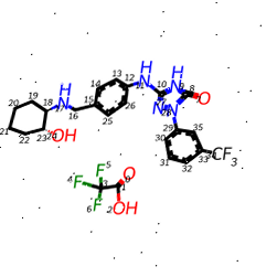 O=C(O)C(F)(F)F.O=c1[nH]c(Nc2ccc(CN[C@@H]3CCCC[C@H]3O)cc2)nn1-c1cccc(C(F)(F)F)c1